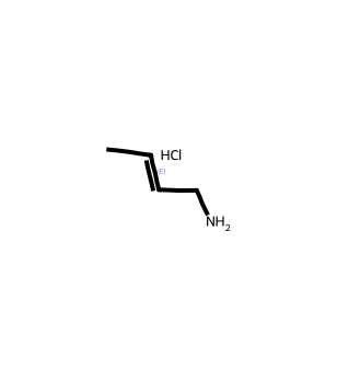 C/C=C/CN.Cl